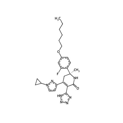 CCCCCCOc1ccc([C@]2(C)CC(c3ccn(C4CC4)n3)=C(c3nnn[nH]3)C(=O)N2)c(F)c1